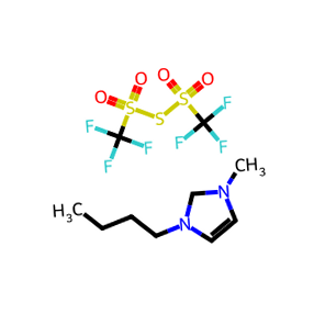 CCCCN1C=CN(C)C1.O=S(=O)(SS(=O)(=O)C(F)(F)F)C(F)(F)F